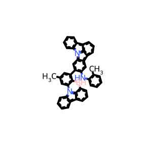 Cc1cc(-c2cc3c(cc2Nc2ccccc2C)c2cccc4c5ccccc5n3c42)c2c(c1)-n1c3ccccc3c3cccc(c31)B2